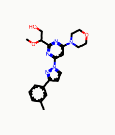 COC(CO)c1nc(N2CCOCC2)cc(-n2ccc(-c3cccc(C)c3)n2)n1